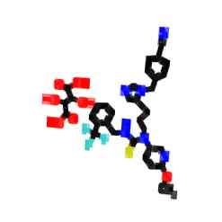 COc1ccc(N(CCCc2cncn2Cc2ccc(C#N)cc2)C(=S)NCc2ccccc2C(F)(F)F)cn1.O=C(O)C(O)C(O)C(=O)O